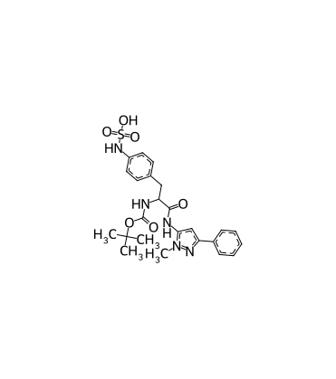 Cn1nc(-c2ccccc2)cc1NC(=O)C(Cc1ccc(NS(=O)(=O)O)cc1)NC(=O)OC(C)(C)C